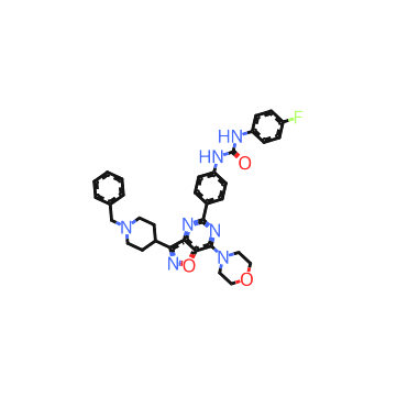 O=C(Nc1ccc(F)cc1)Nc1ccc(-c2nc(N3CCOCC3)c3onc(C4CCN(Cc5ccccc5)CC4)c3n2)cc1